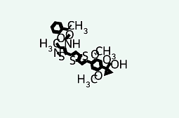 COc1cc(C2(C(=O)O)CC2)c(OC)cc1-c1cc2sc(-c3snc(C)c3NC(=O)O[C@H](C)c3ccccc3)cc2s1